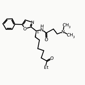 CCC(=O)CCCCC[C@H](NC(=O)CCN(C)C)c1ncc(-c2ccccc2)o1